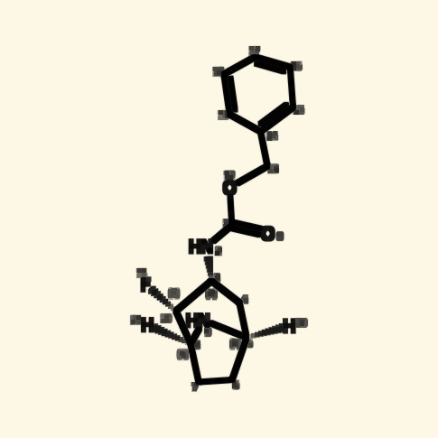 O=C(N[C@@H]1C[C@H]2CC[C@H](N2)[C@@H]1F)OCc1ccccc1